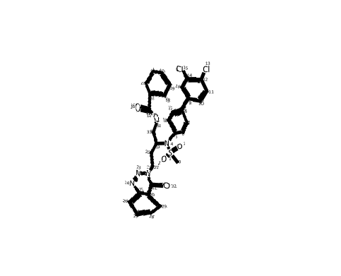 CS(=O)(=O)N(c1ccc(-c2ccc(Cl)c(Cl)c2)cc1)C(CCn1nnc2ccccc2c1=O)COC(=O)c1ccccc1